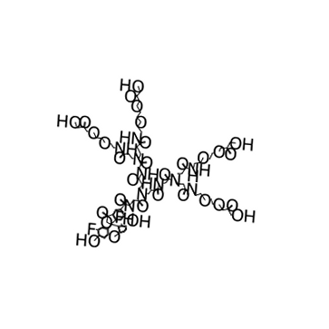 O=C(CO)COCCOCCNC(=O)CCN(CCC(=O)NCCOCCOCC(=O)CO)C(=O)CNC(=O)CCN(CCC(=O)NCC(=O)N(CCC(=O)NCCOCCOCC(=O)CO)CCC(=O)NCCOCCOCC(=O)CO)C(=O)CNC(=O)c1ccc2c(c1)C(=O)OC21c2cc(F)c(O)cc2Oc2ccc(O)c(F)c21